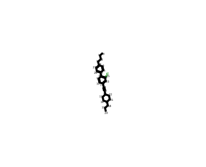 CCCCc1ccc(-c2ccc(C#CC3CCC(CCC)CC3)cc2F)cc1